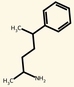 CC(N)CCC(C)c1ccccc1